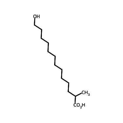 CC(CCCCCCCCCCCO)C(=O)O